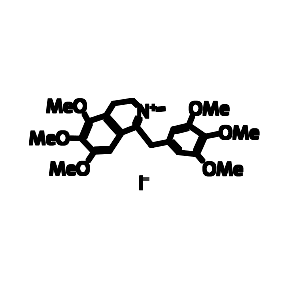 COc1cc(CC2=[N+](C)CCc3c2cc(OC)c(OC)c3OC)cc(OC)c1OC.[I-]